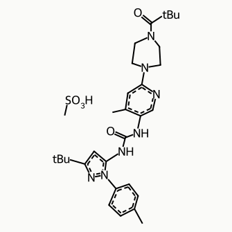 CS(=O)(=O)O.Cc1ccc(-n2nc(C(C)(C)C)cc2NC(=O)Nc2cnc(N3CCN(C(=O)C(C)(C)C)CC3)cc2C)cc1